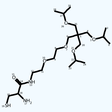 CC(C)OCC(COCCOCCNC(=O)C(N)CS)(COC(C)C)COC(C)C